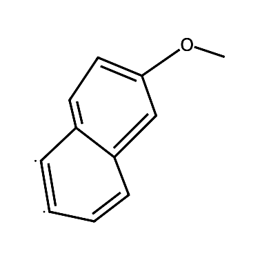 COc1ccc2[c][c]ccc2c1